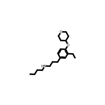 CCCCNCCCc1ccc(OC2CCOCC2)c(CC)c1